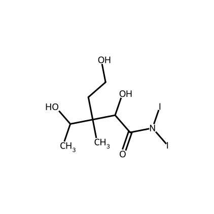 CC(O)C(C)(CCO)C(O)C(=O)N(I)I